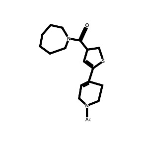 CC(=O)N1CC=C(C2=CC(C(=O)N3CCCCCC3)CS2)CC1